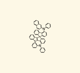 c1ccc(N(c2ccc3ccccc3c2)c2cccc3c2-c2ccccc2C32c3cccc(N(c4ccccc4)c4ccccc4)c3-c3sc4ccccc4c32)cc1